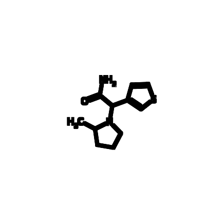 CC1CCCN1C(C(N)=O)c1ccsc1